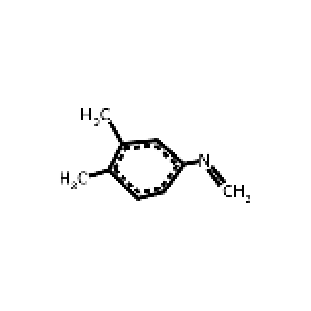 C=Nc1ccc(C)c(C)c1